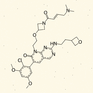 COc1cc(OC)c(Cl)c(-c2cc3cnc(NCCC4COC4)nc3n(CCOC3CN(C(=O)/C=C/CN(C)C)C3)c2=O)c1